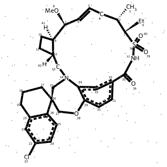 CC[C@@H]1[C@@H](C)C/C=C/[C@H](OC)[C@@H]2CC[C@H]2CN2C[C@@]3(CCCc4cc(Cl)ccc43)COc3ccc(cc32)C(=O)NS1(=O)=O